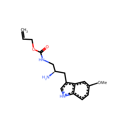 C=CCOC(=O)NC[C@H](N)Cc1c[nH]c2ccc(OC)cc12